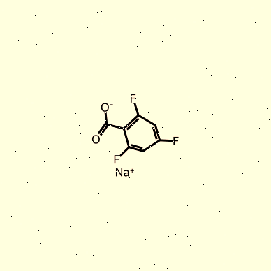 O=C([O-])c1c(F)cc(F)cc1F.[Na+]